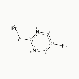 CC(C)Cc1ncc(F)cn1